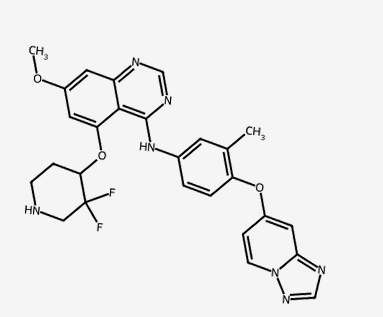 COc1cc(OC2CCNCC2(F)F)c2c(Nc3ccc(Oc4ccn5ncnc5c4)c(C)c3)ncnc2c1